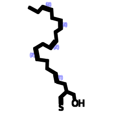 CC/C=C\C/C=C\C/C=C\C/C=C\CC/C=C/CC(C=S)CO